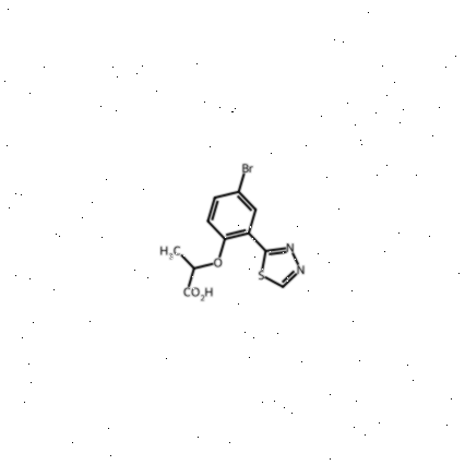 CC(Oc1ccc(Br)cc1-c1nncs1)C(=O)O